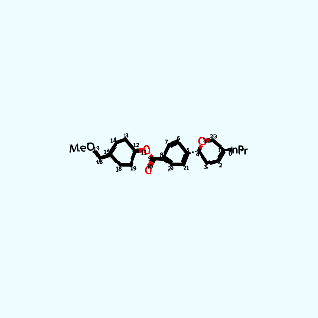 CCC[C@H]1CC[C@H](c2ccc(C(=O)OC3CCC(COC)CC3)cc2)OC1